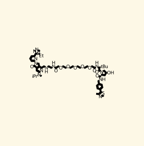 CCn1cnnc1-c1cccc(N2Cc3c(cc(N(C)C(C)C)nc3CNCCNC(=O)COCCOCCOCCOCCOCC(=O)N[C@H](C(=O)N3C[C@H](O)C[C@H]3C(=O)NCc3ccc(-c4scnc4C)cc3)C(C)(C)C)C2=O)n1